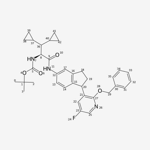 CC(C)(C)OC(=O)N[C@H](C(=O)Nc1ccc2c(c1)CCC2c1cc(F)cnc1OCc1ccccc1)C(C1CC1)C1CC1